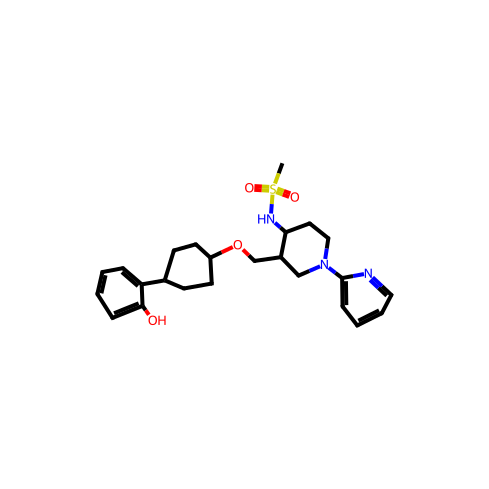 CS(=O)(=O)NC1CCN(c2ccccn2)CC1COC1CCC(c2ccccc2O)CC1